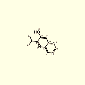 CC(C)c1nc2cncnc2cc1O